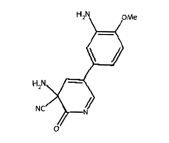 COc1ccc(C2=CC(N)(C#N)C(=O)N=C2)cc1N